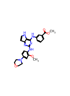 COC(=O)c1cccc(Nc2nc(Nc3ccc(N4CCOCC4)cc3OC)nc3cc[nH]c23)c1